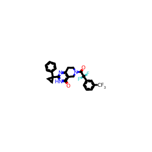 O=C(N1CCc2nc(C3(c4ccccc4)CC3)[nH]c(=O)c2C1)C(F)(F)c1cccc(C(F)(F)F)c1